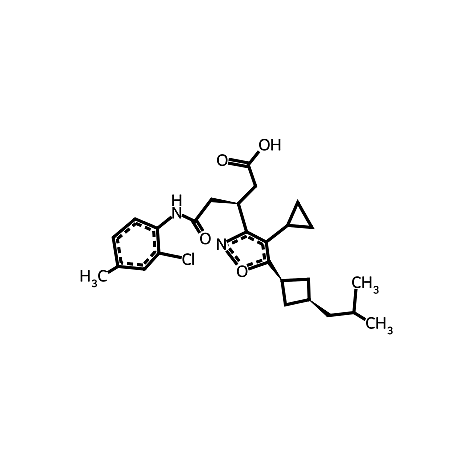 Cc1ccc(NC(=O)C[C@@H](CC(=O)O)c2noc([C@H]3C[C@@H](CC(C)C)C3)c2C2CC2)c(Cl)c1